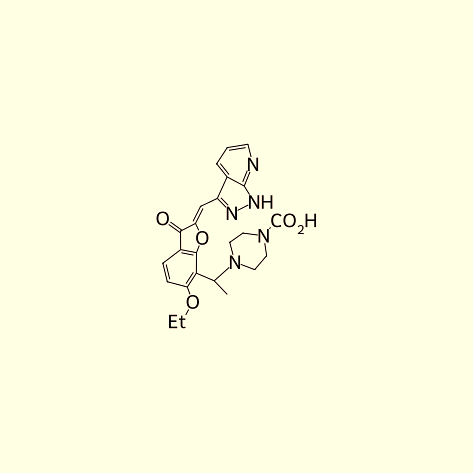 CCOc1ccc2c(c1C(C)N1CCN(C(=O)O)CC1)OC(=Cc1n[nH]c3ncccc13)C2=O